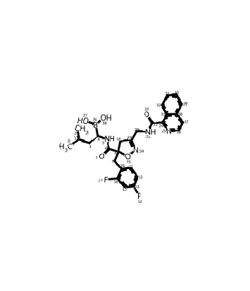 CC(C)C[C@H](NC(=O)C1(Cc2ccc(F)cc2F)CC(CNC(=O)c2nccc3ccccc23)=NO1)B(O)O